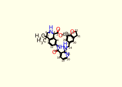 CC(C)(C)OC(=O)C1NCC(C)(C)c2ccc(NC(=O)c3cccnc3NCc3ccc4c(c3)CCO4)cc21